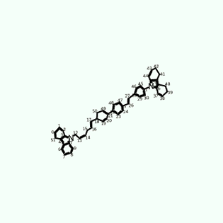 C1=C=Cc2c(c3ccccc3n2C/C=C\C/C=C/C2C=CC(c3ccc(/C=C/c4ccc(-n5c6c(c7c5C=CCC7)CCC=C6)cc4)cc3)=CC2)C=1